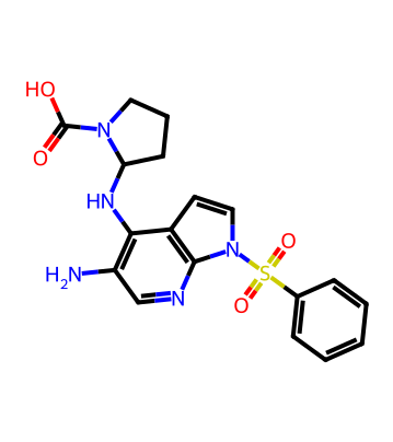 Nc1cnc2c(ccn2S(=O)(=O)c2ccccc2)c1NC1CCCN1C(=O)O